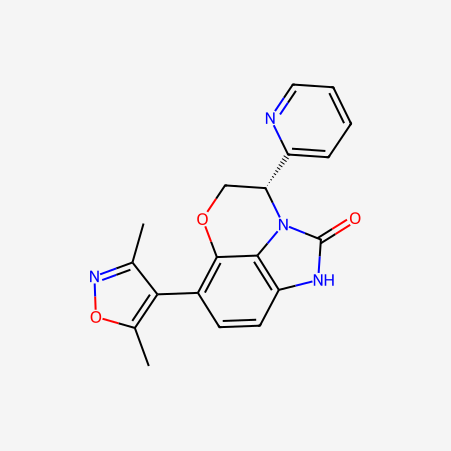 Cc1noc(C)c1-c1ccc2[nH]c(=O)n3c2c1OC[C@@H]3c1ccccn1